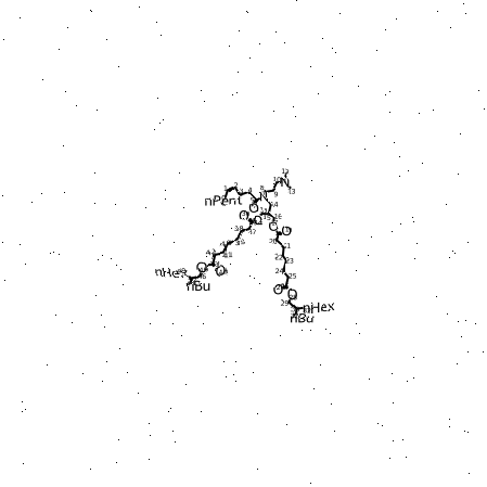 CCCCC/C=C\CCC(=O)N(CCCN(C)C)CC(COC(=O)CCCCCCC(=O)OCC(CCCC)CCCCCC)COC(=O)CCCCCCC(=O)OCC(CCCC)CCCCCC